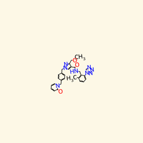 COCc1nn(Cc2ccc(Cn3ccccc3=O)cc2)cc1C(=O)NCc1c(C)cccc1-n1cnnn1